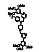 COc1cc(-c2cncc(CN3CCC(N(Cc4ccnc(-c5cc(OC)c(OC)c(OC)c5)c4)c4ccc(C(F)(F)F)cc4)CC3)c2)cc(OC)c1OC